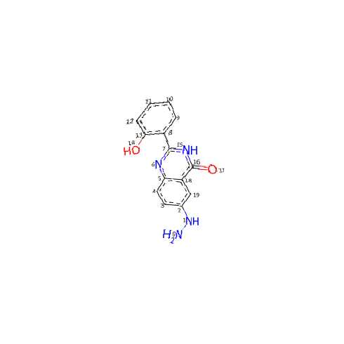 NNc1ccc2nc(-c3ccccc3O)[nH]c(=O)c2c1